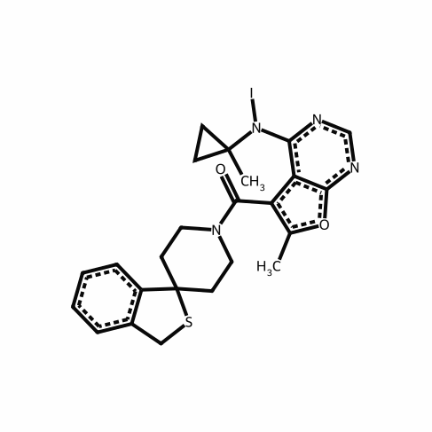 Cc1oc2ncnc(N(I)C3(C)CC3)c2c1C(=O)N1CCC2(CC1)SCc1ccccc12